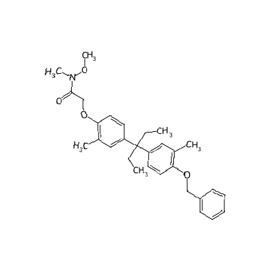 CCC(CC)(c1ccc(OCC(=O)N(C)OC)c(C)c1)c1ccc(OCc2ccccc2)c(C)c1